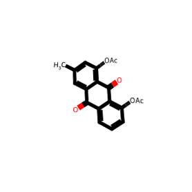 CC(=O)Oc1cccc2c1C(=O)c1c(OC(C)=O)cc(C)cc1C2=O